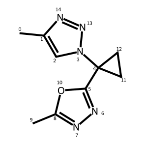 Cc1cn(C2(c3nnc(C)o3)CC2)nn1